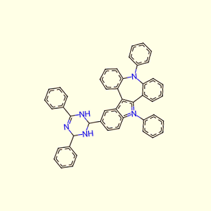 c1ccc(C2=NC(c3ccccc3)NC(c3ccc4c(c3)c3c(n4-c4ccccc4)-c4ccccc4N(c4ccccc4)c4ccccc4-3)N2)cc1